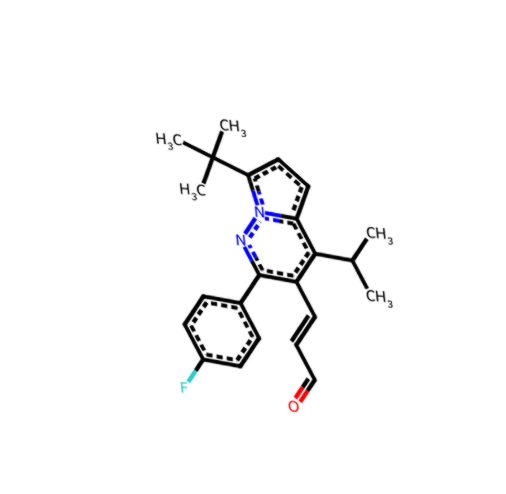 CC(C)c1c(C=CC=O)c(-c2ccc(F)cc2)nn2c(C(C)(C)C)ccc12